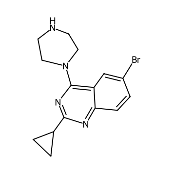 Brc1ccc2nc(C3CC3)nc(N3CCNCC3)c2c1